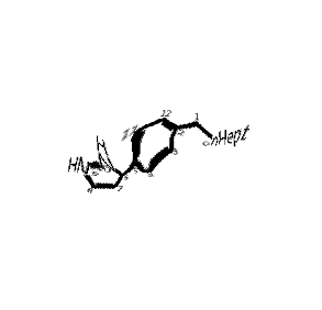 CCCCCCCCc1ccc(C2C=CNN2)cc1